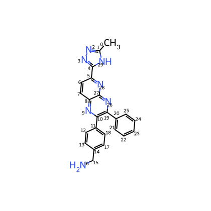 Cc1nnc(-c2ccc3nc(-c4ccc(CN)cc4)c(-c4ccccc4)nc3n2)[nH]1